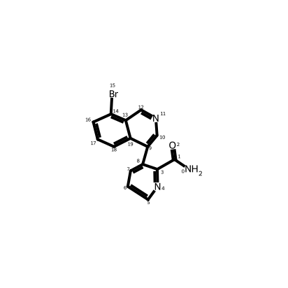 NC(=O)c1ncccc1-c1cncc2c(Br)cccc12